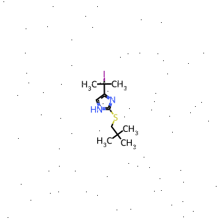 CC(C)(C)CSc1nc(C(C)(C)I)c[nH]1